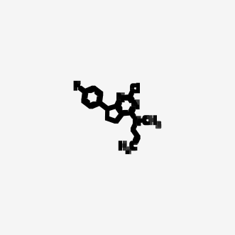 C=CCN(C)c1nc(Cl)nc2c1CCC2c1ccc(F)cc1